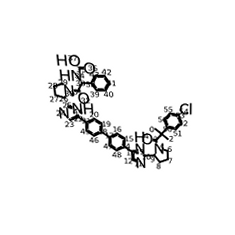 CC(C)(C(=O)N1CCCC1c1ncc(-c2ccc(-c3ccc(-c4cnc([C@@H]5CCCN5C(=O)[C@H](NC(=O)O)c5ccccc5)[nH]4)cc3)cc2)[nH]1)c1ccc(Cl)cc1